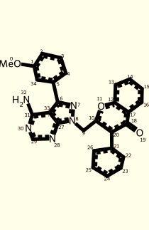 COc1cccc(-c2nn(Cc3oc4ccccc4c(=O)c3-c3ccccc3)c3ncnc(N)c23)c1